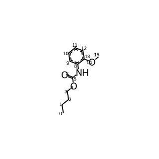 CCCCOC(=O)Nc1ccccc1OC